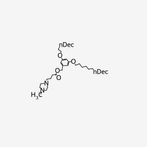 CCCCCCCCCCCCCCCCOc1cc(COC(=O)CCCN2CCN(C)CC2)cc(OCCCCCCCCCCCC)c1